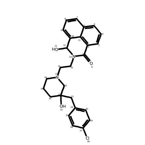 O=C1c2cccc3cccc(c23)C(O)N1CCN1CCCC(O)(Cc2ccc(Cl)cc2)C1